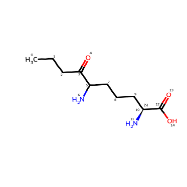 CCCC(=O)C(N)CCC[C@H](N)C(=O)O